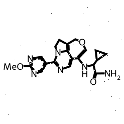 COc1ncc(C2=NC=C3C(NC(C(N)=O)C4CC4)=COCC4=C3N2CC4)cn1